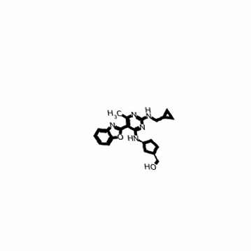 Cc1nc(NCC2CC2)nc(N[C@H]2CC[C@@H](CO)C2)c1-c1nc2ccccc2o1